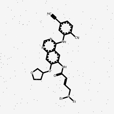 C#Cc1ccc(C#N)c(Nc2ncnc3cc(OC4CCOC4)c(NC(=O)/C=C/CN(CC)CC)cc23)c1